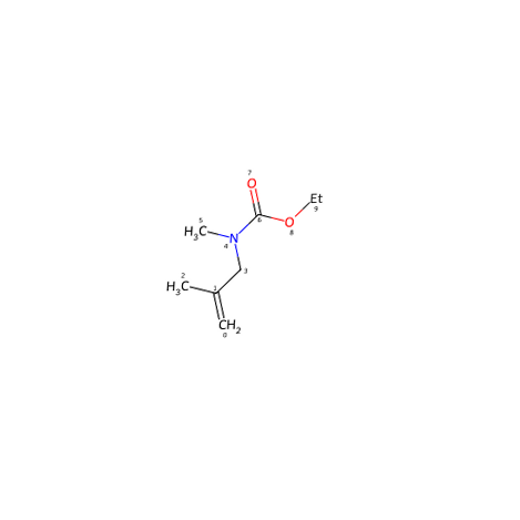 C=C(C)CN(C)C(=O)OCC